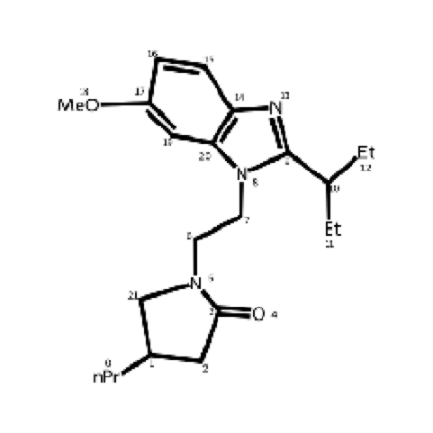 CCCC1CC(=O)N(CCn2c(C(CC)CC)nc3ccc(OC)cc32)C1